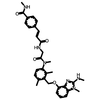 CNC(=O)c1ccc(/C=C/C(=O)NCC(=O)N(C)c2ccc(C)c(COc3cccc4c3nc(NC)n4C)c2C)cc1